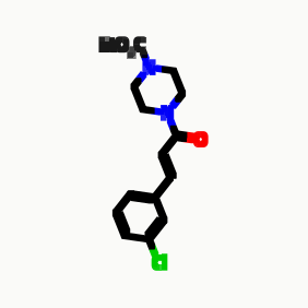 CCOC(=O)N1CCN(C(=O)C=Cc2cccc(Cl)c2)CC1